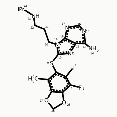 Cc1c2c(c(F)c(I)c1Sc1nc3c(N)ncnc3n1CCCNC(C)C)OCO2